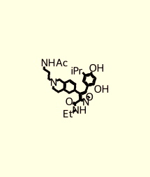 CCNC(=O)c1noc(-c2cc(C(C)C)c(O)cc2O)c1C1C=CC2=C(CCN(CCCNC(C)=O)C2)C1